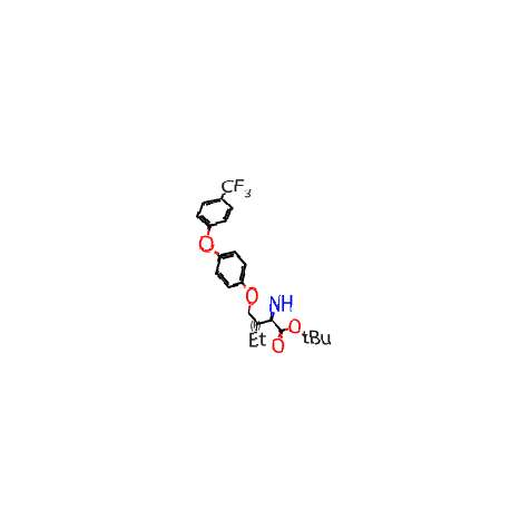 CC[C@@H](COc1ccc(Oc2ccc(C(F)(F)F)cc2)cc1)C(=N)C(=O)OC(C)(C)C